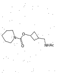 CC(=O)NCC1CC(OC(=O)N2CCCCC2)C1